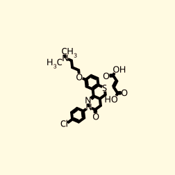 CN(C)CCCOc1ccc2c(c1)C1=NN(c3ccc(Cl)cc3)C(=O)CC1CS2.O=C(O)/C=C/C(=O)O